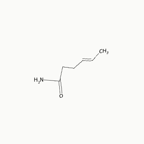 CC=CCCC(N)=O